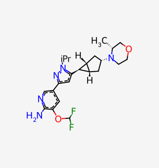 CC(C)n1nc(-c2cnc(N)c(OC(F)F)c2)cc1[C@H]1[C@@H]2C[C@H](N3CCOC[C@H]3C)C[C@@H]21